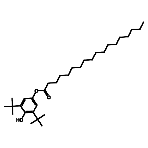 CCCCCCCCCCCCCCCCCC(=O)Oc1cc(C(C)(C)C)c(O)c(C(C)(C)C)c1